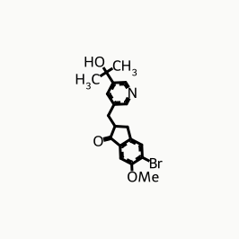 COc1cc2c(cc1Br)CC(Cc1cncc(C(C)(C)O)c1)C2=O